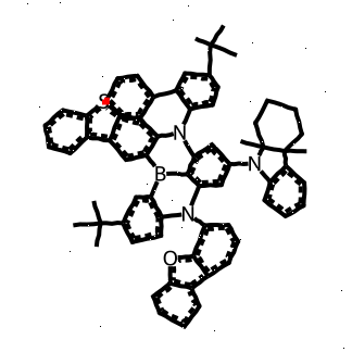 CC(C)(C)c1ccc2c(c1)B1c3cc4c(cc3N(c3ccc(C(C)(C)C)cc3-c3ccccc3)c3cc(N5c6ccccc6C6(C)CCCCC56C)cc(c31)N2c1cccc2c1oc1ccccc12)sc1ccccc14